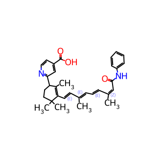 CC1=C(/C=C/C(C)=C/C=C/C(C)=C\C(=O)Nc2ccccc2)C(C)(C)CCC1c1cc(C(=O)O)ccn1